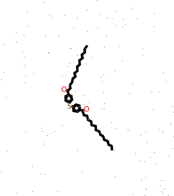 CCCCCCCCCCCCCCCC(=O)c1ccc(Sc2ccc(C(=O)CCCCCCCCCCCCCCC)cc2)cc1